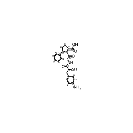 Nc1ccc(CC(S)C(=O)NCC(=O)N2C(c3ccccc3)CC[C@H]2C(=O)O)cc1